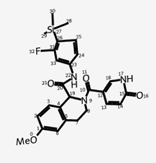 COc1ccc2c(c1)CCN(C(=O)c1ccc(=O)[nH]c1)C2C(=O)Nc1ccc([Si](C)(C)C)c(F)c1